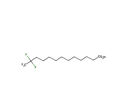 O=C(O)CCCCCCCCCCC(F)(F)C(F)(F)F